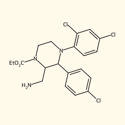 CCOC(=O)N1CCN(c2ccc(Cl)cc2Cl)C(c2ccc(Cl)cc2)C1CN